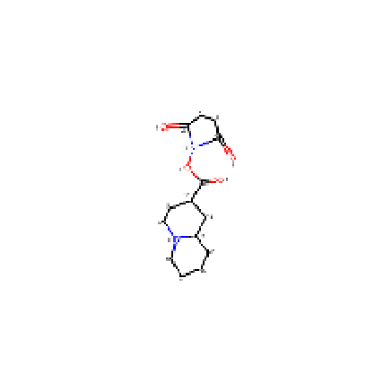 O=C(ON1C(=O)CCC1=O)C1CCN2CCCCC2C1